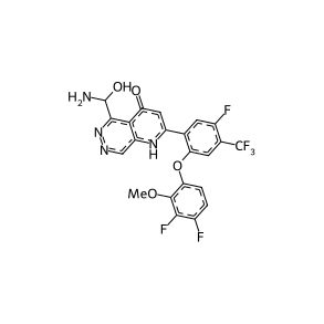 COc1c(Oc2cc(C(F)(F)F)c(F)cc2-c2cc(=O)c3c(C(N)O)nncc3[nH]2)ccc(F)c1F